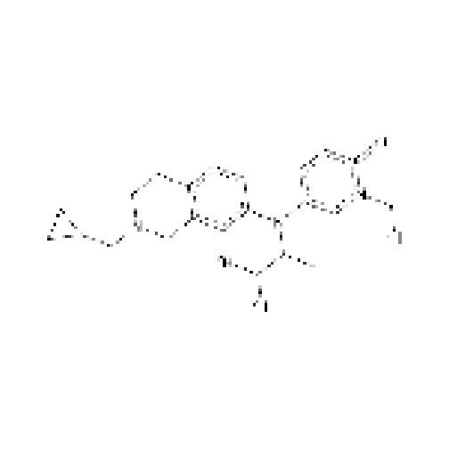 [2H]Cn1cc(N(c2ccc3c(c2)CN(CC2CC2)CC3)C(C)C([2H])[2H])ccc1=O